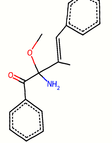 COC(N)(C(=O)c1ccccc1)C(C)=Cc1ccccc1